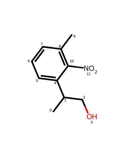 C[C](CO)c1cccc(C)c1[N+](=O)[O-]